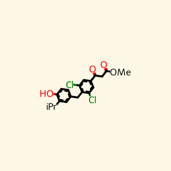 COC(=O)CC(=O)c1cc(Cl)c(Cc2ccc(O)c(C(C)C)c2)c(Cl)c1